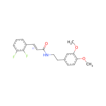 COc1ccc(CCNC(=O)/C=C/c2cccc(F)c2F)cc1OC